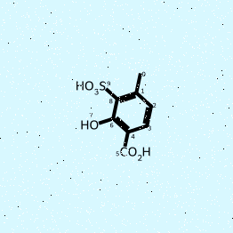 Cc1ccc(C(=O)O)c(O)c1S(=O)(=O)O